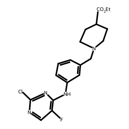 CCOC(=O)C1CCN(Cc2cccc(Nc3nc(Cl)ncc3F)c2)CC1